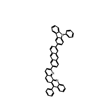 c1ccc(-c2c3ccccc3nc3c2ccc2ccc(-c4ccc5cc6cc(-c7ccc8c(c7)c7ccccc7n8-c7ccccc7)ccc6cc5c4)nc23)cc1